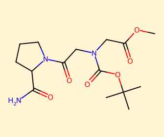 COC(=O)CN(CC(=O)N1CCCC1C(N)=O)C(=O)OC(C)(C)C